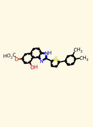 Cc1ccc(-c2ccc(-c3nc4c(ccc5cc(OC(=O)O)cc(O)c54)[nH]3)s2)cc1C